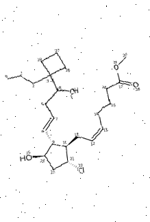 CCCC1(C(O)C/C=C/[C@@H]2[C@@H](C/C=C\CCCC(=O)OC)[C@H](Cl)C[C@H]2O)CCC1